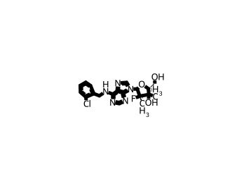 CC1(O)[C@@H](CO)OC(n2cnc3c(NCc4ccccc4Cl)ncnc32)[C@]1(C)F